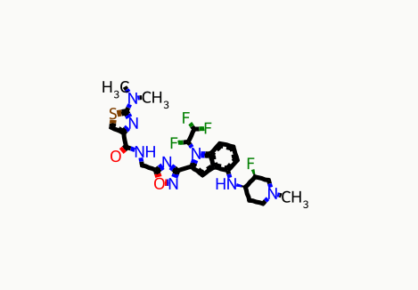 CN1CC[C@@H](Nc2cccc3c2cc(-c2noc(CNC(=O)c4csc(N(C)C)n4)n2)n3C(F)C(F)F)[C@@H](F)C1